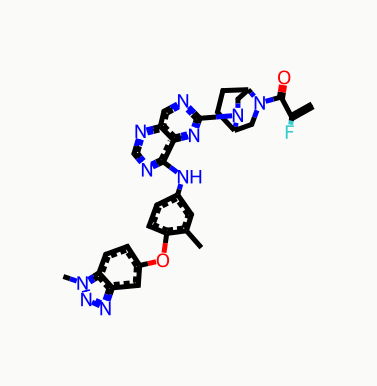 C=C(F)C(=O)N1CC2CCC1CN2c1ncc2ncnc(Nc3ccc(Oc4ccc5c(c4)nnn5C)c(C)c3)c2n1